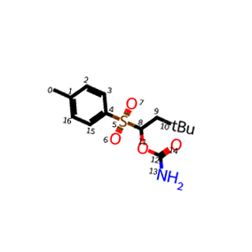 Cc1ccc(S(=O)(=O)C(CC(C)(C)C)OC(N)=O)cc1